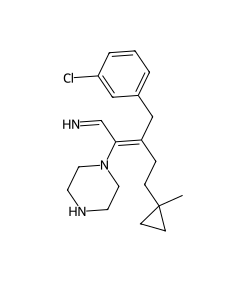 CC1(CCC(Cc2cccc(Cl)c2)=C(C=N)N2CCNCC2)CC1